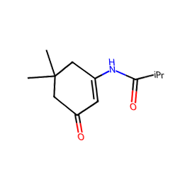 CC(C)C(=O)NC1=CC(=O)CC(C)(C)C1